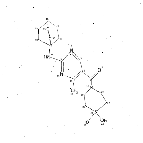 O=C(c1cnc(NC23CCC(CC2)CC3)nc1C(F)(F)F)N1CCS(O)(O)CC1